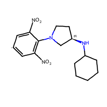 O=[N+]([O-])c1c[c]cc([N+](=O)[O-])c1N1CC[C@@H](NC2CCCCC2)C1